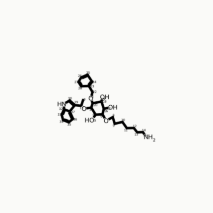 CC(OC1C(O)C(OCCCCCCCN)C(O)C(O)C1OCc1ccccc1)c1c[nH]c2ccccc12